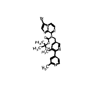 Cc1cc(-c2ncc(CN(C(=O)OC(C)(C)C)c3nccn4c(Br)cnc34)cc2C)ccn1